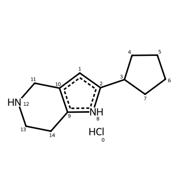 Cl.c1c(C2CCCC2)[nH]c2c1CNCC2